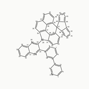 c1cncc(-c2cccc(-c3nc4ccccc4nc3-n3c4cccc5c4c4c6c(cccc6ccc43)C53c4ccccc4-c4ccccc43)c2)c1